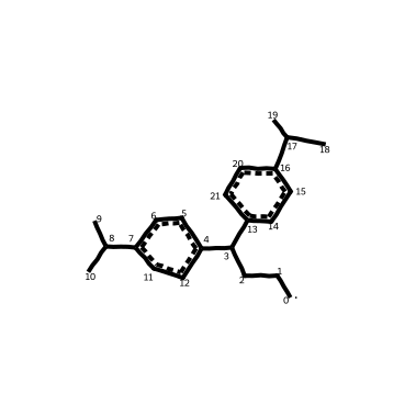 [CH2]CCC(c1ccc(C(C)C)cc1)c1ccc(C(C)C)cc1